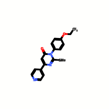 CSc1nc(-c2ccncc2)cc(=O)n1-c1ccc(OCC(F)(F)F)cc1